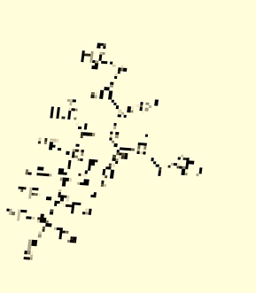 CCOC(=O)C(C(=O)OCC)C(C)C(F)(F)C(F)(F)C(F)(F)C(F)(F)F